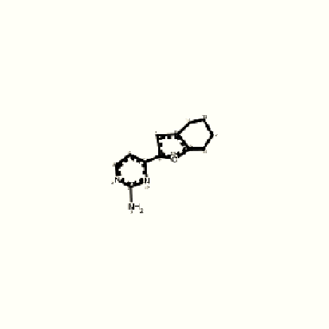 Nc1nccc(-c2cc3c(o2)CCCC3)n1